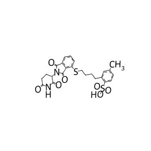 Cc1ccc(S(=O)(=O)O)c(CCCCSc2cccc3c2C(=O)N(C2CCC(=O)NC2=O)C3=O)c1